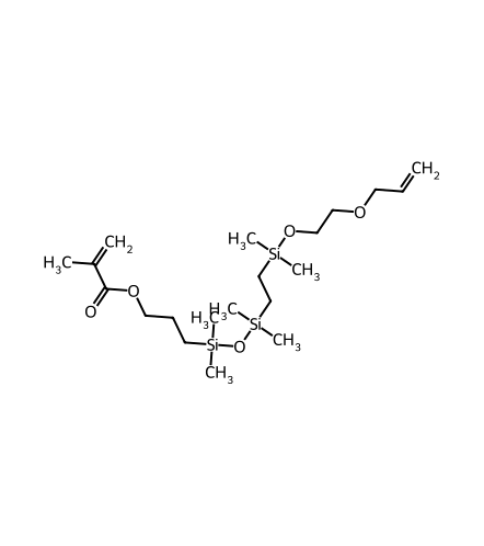 C=CCOCCO[Si](C)(C)CC[Si](C)(C)O[Si](C)(C)CCCOC(=O)C(=C)C